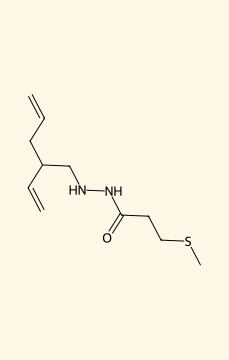 C=CCC(C=C)CNNC(=O)CCSC